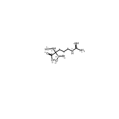 N=C(N)NCCCC(NO)(C(=O)O)[S+]([O-])Br